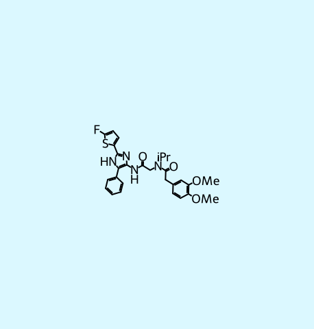 COc1ccc(CC(=O)N(CC(=O)Nc2nc(-c3ccc(F)s3)[nH]c2-c2ccccc2)C(C)C)cc1OC